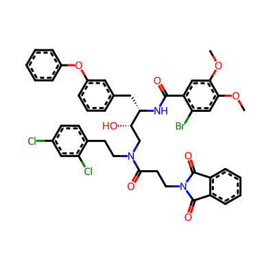 COc1cc(Br)c(C(=O)N[C@@H](Cc2cccc(Oc3ccccc3)c2)[C@@H](O)CN(CCc2ccc(Cl)cc2Cl)C(=O)CCN2C(=O)c3ccccc3C2=O)cc1OC